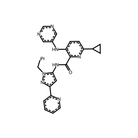 CC(C)Cn1nc(-c2ccccn2)cc1NC(=O)c1nc(C2CC2)ccc1Nc1cncnc1